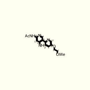 COCCOc1ccc(-c2cnc(NC(C)=O)cc2N)nc1